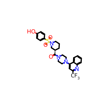 O=C([C@@H]1CCCN(S(=O)(=O)c2ccc(O)cc2)C1)N1CCN(c2cc(C(F)(F)F)nc3ccccc23)CC1